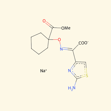 COC(=O)C1(O/N=C(\C(=O)[O-])c2csc(N)n2)CCCCC1.[Na+]